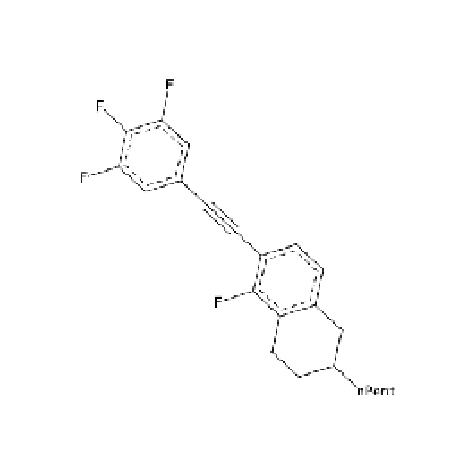 CCCCCC1CCc2c(ccc(C#Cc3cc(F)c(F)c(F)c3)c2F)C1